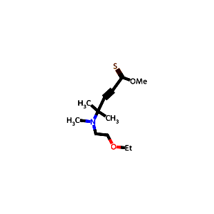 CCOCCN(C)C(C)(C)C#CC(=S)OC